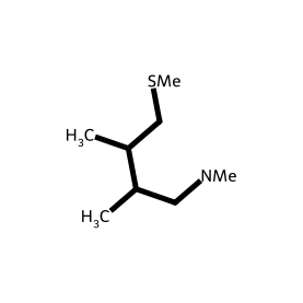 CNCC(C)C(C)CSC